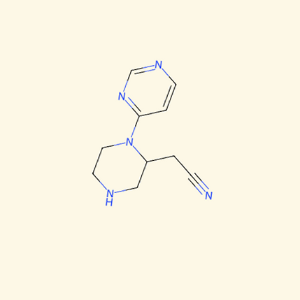 N#CCC1CNCCN1c1ccncn1